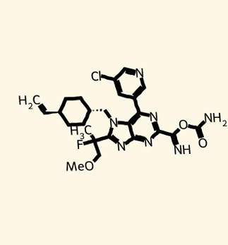 C=C[C@H]1CC[C@H](Cn2c(C(C)(F)COC)nc3nc(C(=N)OC(N)=O)nc(-c4cncc(Cl)c4)c32)CC1